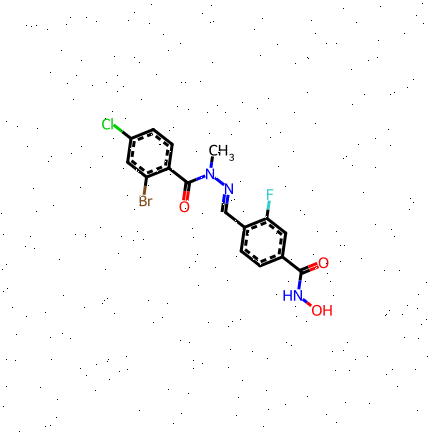 CN(N=Cc1ccc(C(=O)NO)cc1F)C(=O)c1ccc(Cl)cc1Br